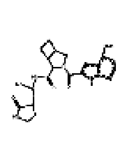 COc1cccc2[nH]c(C(=O)N3CC4CCC4C3C(=O)NC(C#N)CC3CCNC3=O)cc12